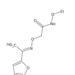 CCONC(=O)CO/N=C(\C(=O)O)c1ccco1